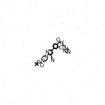 CN(CCn1cncn1)C(=O)c1ccc(-c2cnc(N3CCN(C(=O)OC(C)(C)C)CC3)c(C#N)c2)cc1Cl